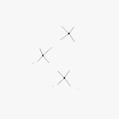 CC(=O)C(C(C)=O)(C(C)=O)C(=O)[O-].CC(=O)C(C(C)=O)(C(C)=O)C(=O)[O-].CC(=O)C(C(C)=O)(C(C)=O)C(=O)[O-].[Y+3]